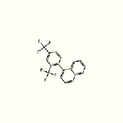 FC(F)(F)c1c[c]c(-c2cccc3ccccc23)c(C(F)(F)F)c1